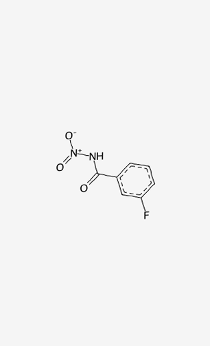 O=C(N[N+](=O)[O-])c1cccc(F)c1